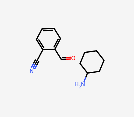 N#Cc1ccccc1C=O.NC1CCCCC1